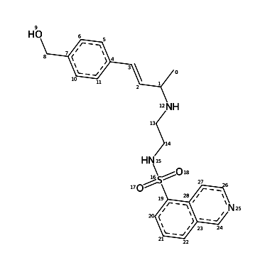 CC(C=Cc1ccc(CO)cc1)NCCNS(=O)(=O)c1cccc2cnccc12